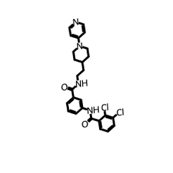 O=C(NCCC1CCN(c2ccncc2)CC1)c1cccc(NC(=O)c2cccc(Cl)c2Cl)c1